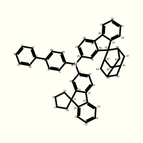 c1ccc(-c2ccc(N(c3ccc4c(c3)C3(CCCC3)c3ccccc3-4)c3ccc4c(c3)C3(c5ccccc5-4)C4CC5CC(C4)CC3C5)cc2)cc1